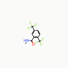 CNC(=O)c1cc(C(F)(F)F)ccc1C(F)(F)F